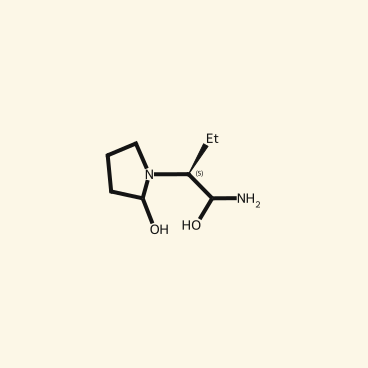 CC[C@@H](C(N)O)N1CCCC1O